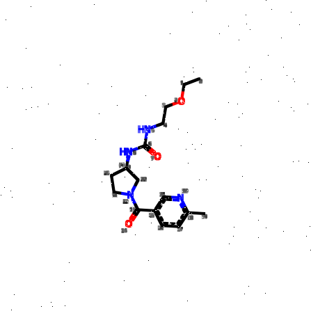 CCOCCNC(=O)N[C@@H]1CCN(C(=O)c2ccc(C)nc2)C1